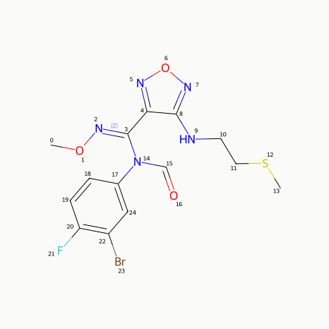 CO/N=C(/c1nonc1NCCSC)N(C=O)c1ccc(F)c(Br)c1